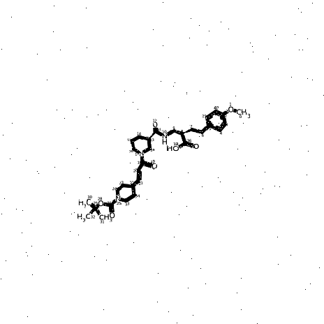 COc1ccc(CC[C@H](CNC(=O)[C@@H]2CCCN(C(=O)/C=C/C3CCN(C(=O)OC(C)(C)C)CC3)C2)C(=O)O)cc1